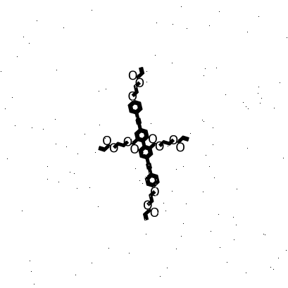 C=CC(=O)OCCOC(=O)c1cc(C#Cc2ccc(OCCOC(=O)C=C)cc2)ccc1-c1ccc(C#Cc2ccc(OCCOC(=O)C=C)cc2)cc1C(=O)OCCOC(=O)C=C